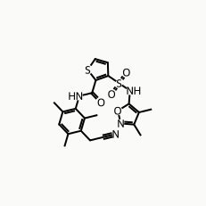 Cc1cc(C)c(NC(=O)c2sccc2S(=O)(=O)Nc2onc(C)c2C)c(C)c1CC#N